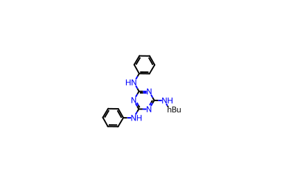 CCCCNc1nc(Nc2ccccc2)nc(Nc2ccccc2)n1